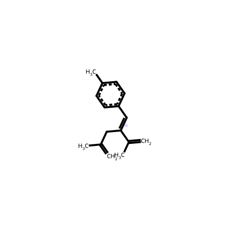 C=C(C)C/C(=C\c1ccc(C)cc1)C(=C)C